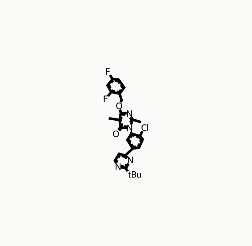 Cc1c(OCc2ccc(F)cc2F)nc(C)n(-c2cc(-c3ccnc(C(C)(C)C)n3)ccc2Cl)c1=O